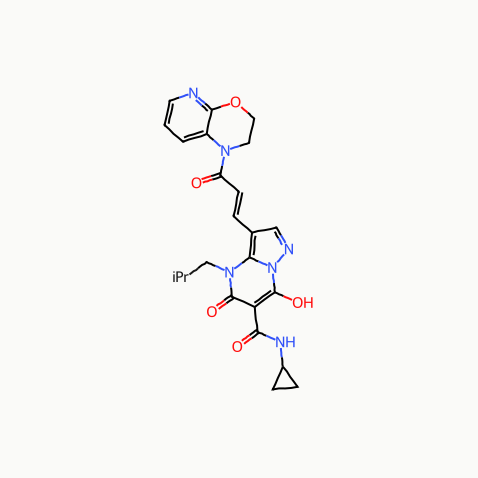 CC(C)Cn1c(=O)c(C(=O)NC2CC2)c(O)n2ncc(/C=C/C(=O)N3CCOc4ncccc43)c12